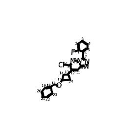 Fc1ccccc1-c1nnc2cc(C3CC(OCc4ccccc4)C3)c(Cl)nn12